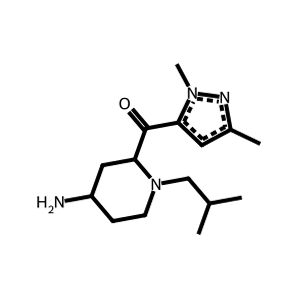 Cc1cc(C(=O)C2CC(N)CCN2CC(C)C)n(C)n1